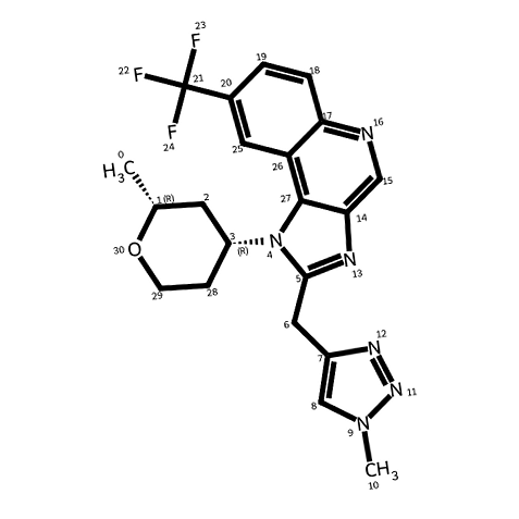 C[C@@H]1C[C@H](n2c(Cc3cn(C)nn3)nc3cnc4ccc(C(F)(F)F)cc4c32)CCO1